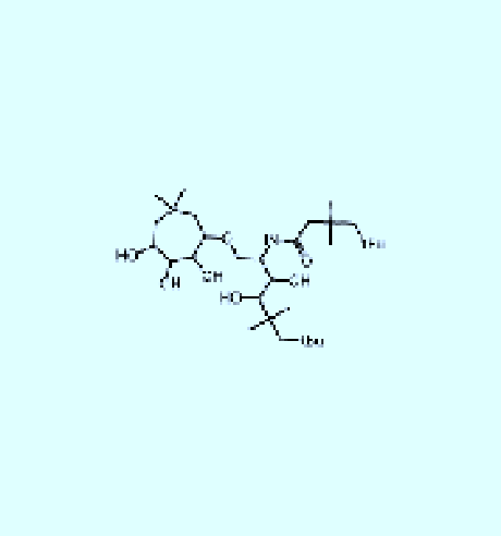 CC(C)(C)CC(C)(C)CC(=O)NC(COC1CC(C)(C)CC(O)C(O)C1O)C(O)C(O)C(C)(C)CC(C)(C)C